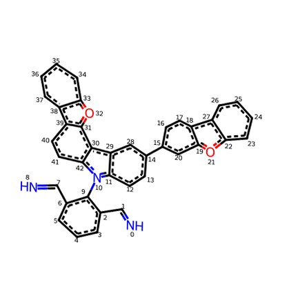 N=Cc1cccc(C=N)c1-n1c2ccc(-c3ccc4c(c3)oc3ccccc34)cc2c2c3oc4ccccc4c3ccc21